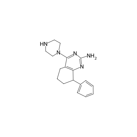 Nc1nc2c(c(N3CCNCC3)n1)CCCC2c1ccccc1